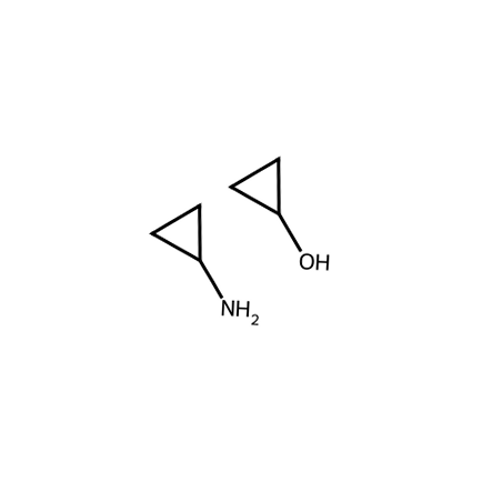 NC1CC1.OC1CC1